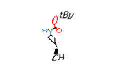 C#C[C@H]1C[C@H](NC(=O)OC(C)(C)C)C1